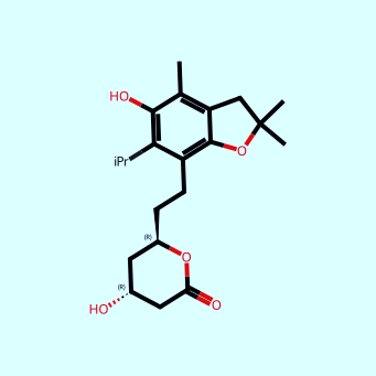 Cc1c(O)c(C(C)C)c(CC[C@@H]2C[C@@H](O)CC(=O)O2)c2c1CC(C)(C)O2